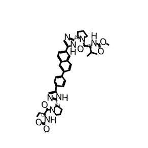 CC[C@H](NC(=O)OC)C(=O)N1CCC[C@H]1c1ncc(-c2ccc(-c3ccc4cc(-c5cnc([C@@H]6CCCN6C(=O)[C@@H](NC(=O)OC)C(C)C)[nH]5)ccc4c3)cc2)[nH]1